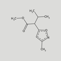 COC(=O)C(c1cc(C)no1)C(C)C